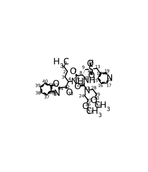 CCCCC(NC(=O)[C@H](CS(=O)(=O)Cc1cccnc1)NC(=O)N(CCOC)CCOC)C(=O)c1nc2ccccc2o1